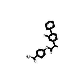 CC(C(=O)Oc1ccc(C(N)=O)cc1)c1ccc(-c2ccccc2)c(F)c1